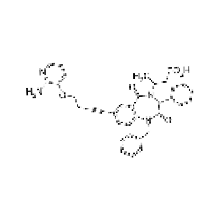 CC(CC(=O)O)N1C(=O)c2cc(C#CCCOc3cccnc3N)ccc2N(Cc2ccccc2)C(=O)C1c1ccccc1